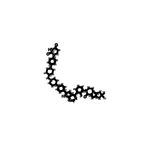 Cc1c(-c2ncnc3[nH]c(-c4ccc(C5CCN(CC6CCN(c7ccc(N8CCC(=O)NC8=O)cc7)CC6)CC5)cc4)cc23)cccc1N1CCn2c(cc3c2CC(C)(C)C3)C1=O